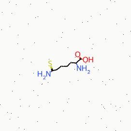 NC(=S)CCCC[C@H](N)C(=O)O